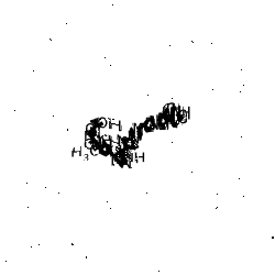 Cc1cc(-c2ncnc3[nH]c(-c4ccc(N5CCN(CC6CCN(c7ccc(N8CCC(=O)NC8=O)c(C)c7)CC6)CC5)cn4)cc23)ccc1C(C)NC(=O)c1noc(C2(CO)CC2)n1